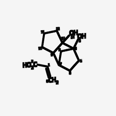 C=CC(=O)O.OC12CCC(C1)C1CCCC12O